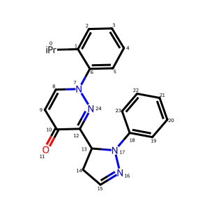 CC(C)c1ccccc1-n1ccc(=O)c(C2CC=NN2c2ccccc2)n1